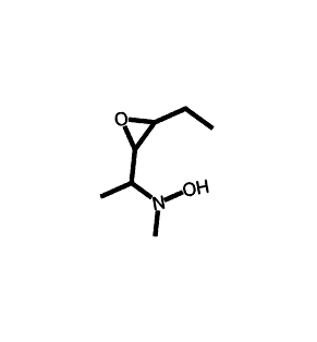 CCC1OC1C(C)N(C)O